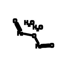 O.O.[O]=[Fe][O][Fe]=[O]